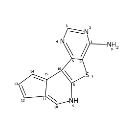 Nc1ncnc2c1sc1[nH]cc3cccc-3c12